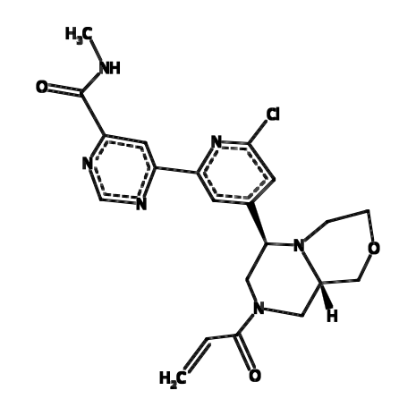 C=CC(=O)N1C[C@H]2COCCN2[C@H](c2cc(Cl)nc(-c3cc(C(=O)NC)ncn3)c2)C1